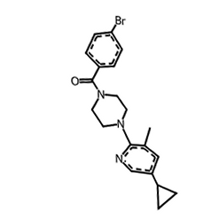 Cc1cc(C2CC2)cnc1N1CCN(C(=O)c2ccc(Br)cc2)CC1